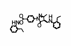 CCc1ccccc1NC=C1C(=O)N(c2ccc(C(=O)ONc3ccccc3CC)cc2)N=C1C